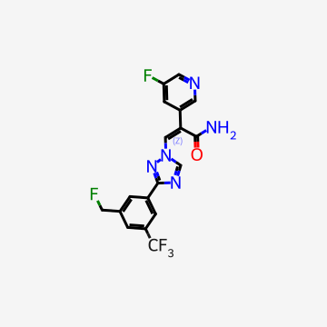 NC(=O)/C(=C\n1cnc(-c2cc(CF)cc(C(F)(F)F)c2)n1)c1cncc(F)c1